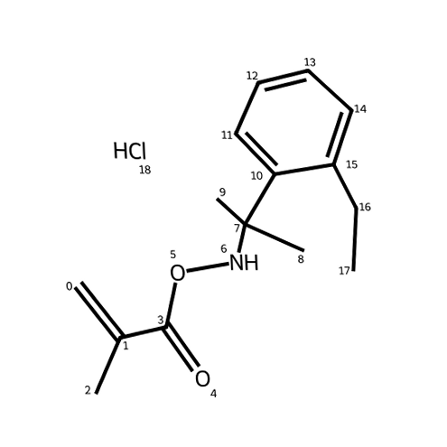 C=C(C)C(=O)ONC(C)(C)c1ccccc1CC.Cl